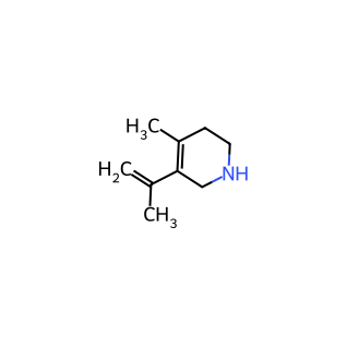 C=C(C)C1=C(C)CCNC1